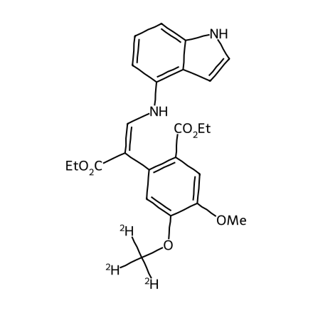 [2H]C([2H])([2H])Oc1cc(C(=CNc2cccc3[nH]ccc23)C(=O)OCC)c(C(=O)OCC)cc1OC